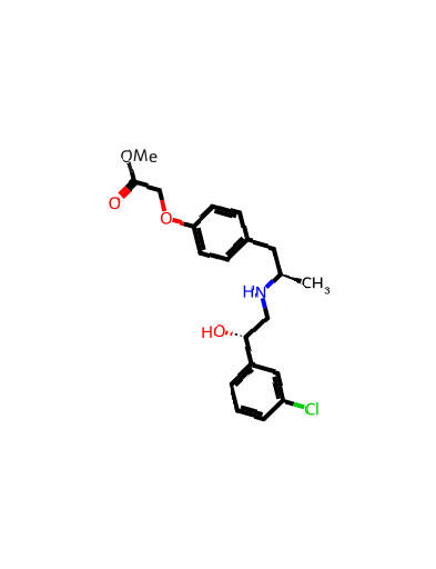 COC(=O)COc1ccc(C[C@@H](C)NC[C@@H](O)c2cccc(Cl)c2)cc1